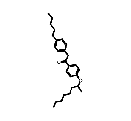 CCCCCCC(C)Oc1ccc(C(=O)Cc2ccc(CCCCC)cc2)cc1